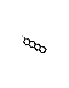 Fc1ccc2cc3cc4ccccc4cc3cc2c1